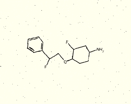 NC1CCC(OCC(F)c2ccccc2)C(F)C1